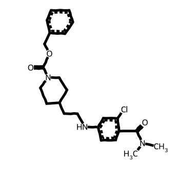 CN(C)C(=O)c1ccc(NCCC2CCN(C(=O)OCc3ccccc3)CC2)cc1Cl